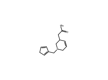 CC(C)(C)C(=O)CC1C=CCN(CC2=CCC=C2)C1